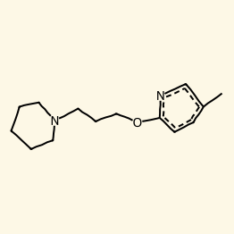 Cc1ccc(OCCCN2CCCCC2)nc1